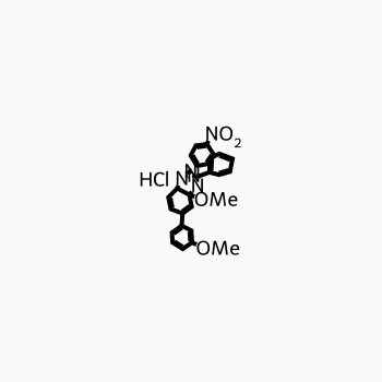 COc1cccc(C2=CC3(OC)C(C=C2)N2N=C(c4ccccc4)N3N2c2ccc([N+](=O)[O-])cc2)c1.Cl